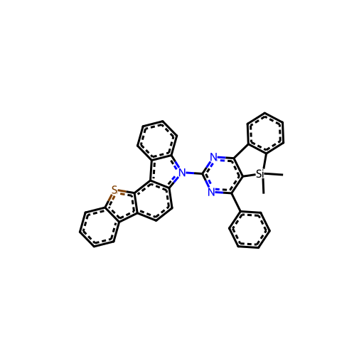 C[Si]1(C)c2ccccc2-c2nc(-n3c4ccccc4c4c5sc6ccccc6c5ccc43)nc(-c3ccccc3)c21